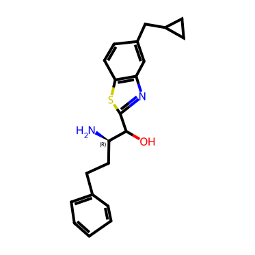 N[C@H](CCc1ccccc1)C(O)c1nc2cc(CC3CC3)ccc2s1